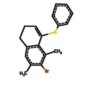 Cc1cc2c(c(C)c1Br)C(Sc1ccccc1)=CCC2